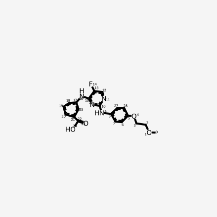 COCCOc1ccc(Nc2ncc(F)c(Nc3cccc(C(=O)O)c3)n2)cc1